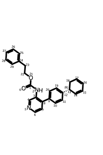 O=C(Nc1cnccc1-c1ccc([C@H]2C=C[C]=CC2)cc1)OCCc1ccccc1